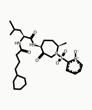 CC(C)C[C@H](NC(=O)CCCC1CCCCC1)C(=O)N[C@H]1CC[C@@H](C)N(S(=O)(=O)c2cccc[n+]2[O-])CC1=O